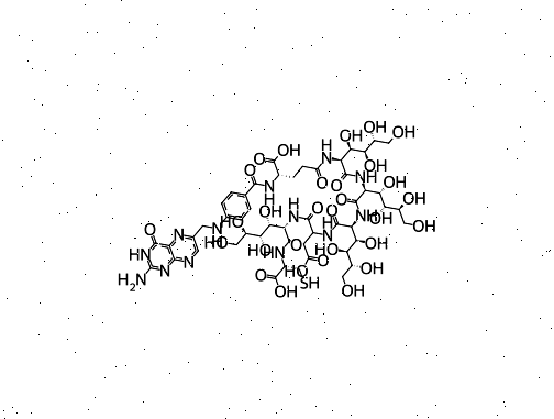 Nc1nc2ncc(CNc3ccc(C(=O)N[C@@H](CCC(=O)N[C@H](C(=O)N[C@H](C(=O)N[C@H](C(=O)NC(CC(=O)O)C(=O)N[C@H](C(=O)N[C@H](CS)C(=O)O)[C@@H](O)[C@H](O)[C@H](O)CO)[C@@H](O)[C@H](O)[C@H](O)CO)[C@H](O)[C@@H](O)[C@@H](O)CO)[C@@H](O)[C@H](O)[C@H](O)CO)C(=O)O)cc3)nc2c(=O)[nH]1